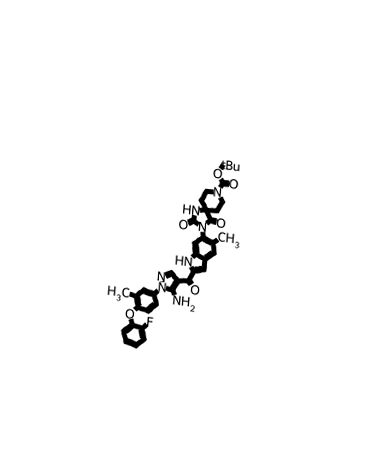 Cc1cc(-n2ncc(C(=O)c3cc4cc(C)c(N5C(=O)NC6(CCN(C(=O)OC(C)(C)C)CC6)C5=O)cc4[nH]3)c2N)ccc1Oc1ccccc1F